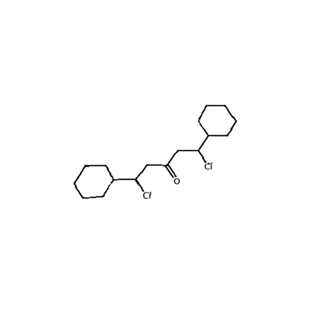 O=C(CC(Cl)C1CCCCC1)CC(Cl)C1CCCCC1